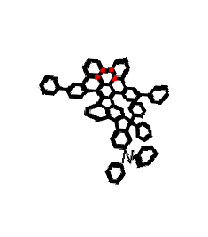 c1ccc(-c2ccc(-c3c4c(c(-c5ccc(-c6ccccc6)cc5-c5ccccc5)c5ccccc35)-c3cc5c(c6cccc-4c36)-c3ccc(N(c4ccccc4)c4ccccc4)cc3C5(c3ccccc3)c3ccccc3)c(-c3ccccc3)c2)cc1